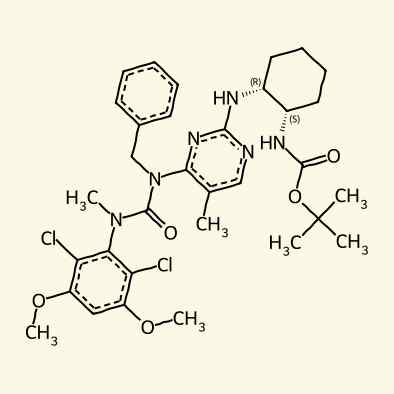 COc1cc(OC)c(Cl)c(N(C)C(=O)N(Cc2ccccc2)c2nc(N[C@@H]3CCCC[C@@H]3NC(=O)OC(C)(C)C)ncc2C)c1Cl